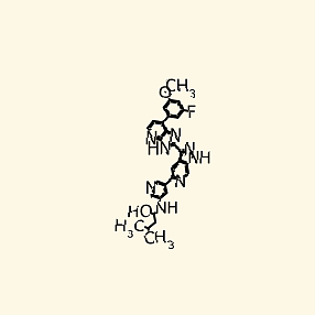 COc1cc(F)cc(-c2ccnc3[nH]c(-c4n[nH]c5cnc(-c6cncc(NC(O)CC(C)C)c6)cc45)nc23)c1